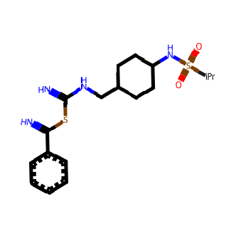 CC(C)S(=O)(=O)NC1CCC(CNC(=N)SC(=N)c2ccccc2)CC1